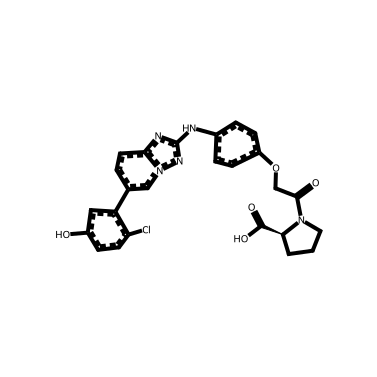 O=C(O)[C@@H]1CCCN1C(=O)COc1ccc(Nc2nc3ccc(-c4cc(O)ccc4Cl)cn3n2)cc1